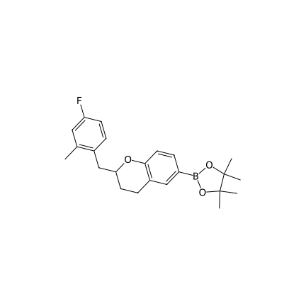 Cc1cc(F)ccc1CC1CCc2cc(B3OC(C)(C)C(C)(C)O3)ccc2O1